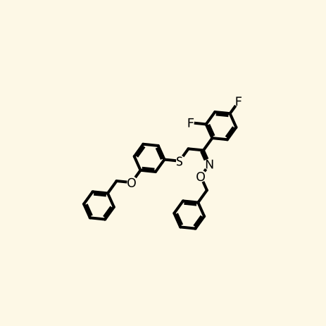 Fc1ccc(C(CSc2cccc(OCc3ccccc3)c2)=NOCc2ccccc2)c(F)c1